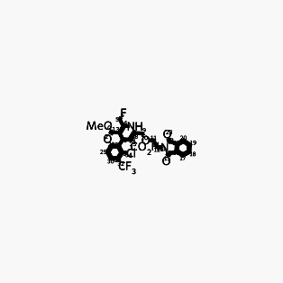 COC(=O)C1=C(CF)NC(COCCN2C(=O)c3ccccc3C2=O)=C(C(=O)O)C1c1cccc(C(F)(F)F)c1Cl